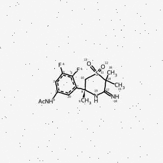 CC(=O)Nc1cc(F)c(F)c([C@]2(C)CS(=O)(=O)C(C)(C)C(=N)N2)c1